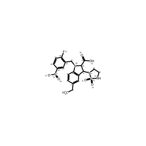 CCc1ccc2c(c1)C(N1CCNS1(=O)=O)C(C(=O)O)N2Cc1cc([N+](=O)[O-])ccc1F